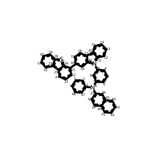 c1ccc(N(c2cccc(-n3c4ccccc4c4ccc(-c5cccc6c5sc5ccccc56)cc43)c2)c2ccc3ccccc3c2)cc1